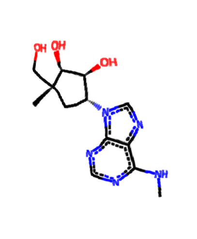 CNc1ncnc2c1ncn2[C@@H]1C[C@](C)(CO)[C@@H](O)[C@H]1O